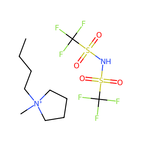 CCCC[N+]1(C)CCCC1.O=S(=O)(NS(=O)(=O)C(F)(F)F)C(F)(F)F